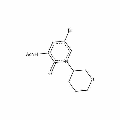 CC(=O)Nc1cc(Br)cn(C2CCCOC2)c1=O